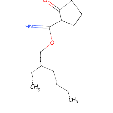 CCCCC(CC)COC(=N)C1CCCC1=O